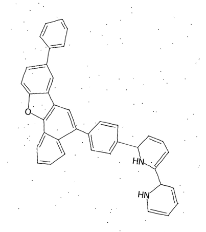 C1=CNC(C2=CC=CC(c3ccc(-c4cc5c6cc(-c7ccccc7)ccc6oc5c5ccccc45)cc3)N2)C=C1